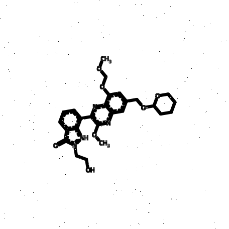 COCOc1cc(COC2CCCCO2)cc2nc(OC)c(-c3cccc4c(=O)n(CCO)[nH]c34)nc12